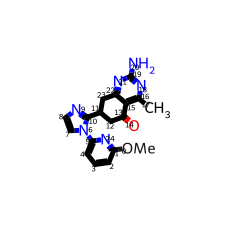 COc1cccc(-n2ccnc2C2CC(=O)c3c(C)nc(N)nc3C2)n1